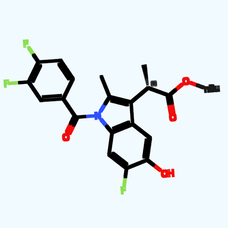 CCCCOC(=O)[C@@H](C)c1c(C)n(C(=O)c2ccc(F)c(F)c2)c2cc(F)c(O)cc12